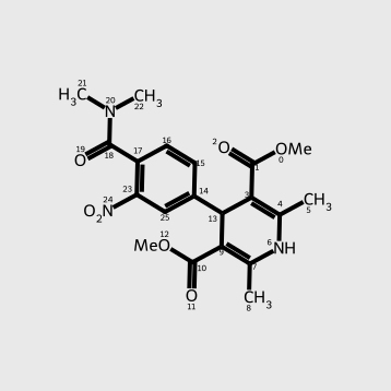 COC(=O)C1=C(C)NC(C)=C(C(=O)OC)C1c1ccc(C(=O)N(C)C)c([N+](=O)[O-])c1